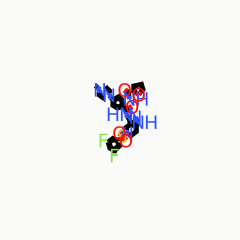 CN1CCN(c2ccc(C(=O)Nc3n[nH]c4c3CN(S(=O)(=O)c3cc(F)cc(F)c3)CC4)c(NC(=O)[C@H]3CCCO3)c2)CC1